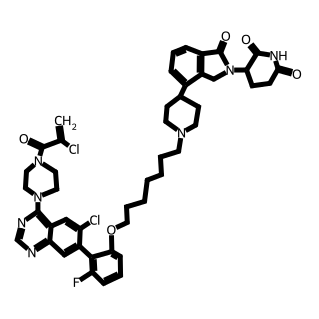 C=C(Cl)C(=O)N1CCN(c2ncnc3cc(-c4c(F)cccc4OCCCCCCCN4CCC(c5cccc6c5CN(C5CCC(=O)NC5=O)C6=O)CC4)c(Cl)cc23)CC1